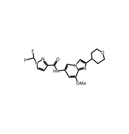 COc1cc(NC(=O)c2ccn(C(F)F)n2)cn2cc(C3CCOCC3)nc12